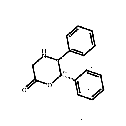 O=C1CNC(c2ccccc2)[C@H](c2ccccc2)O1